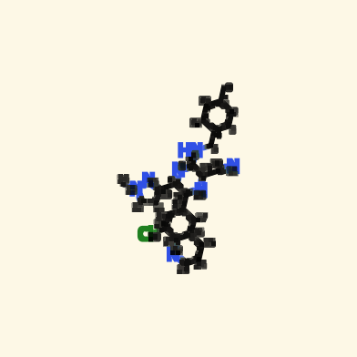 Cc1ccc(CNc2nc(-c3ccn(C)n3)c(-c3cc(Cl)c4ncccc4c3)nc2C#N)cc1